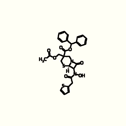 CC(=O)OCC1(C(=O)OC(c2ccccc2)c2ccccc2)CS[C@@H]2C(N(O)C(=O)Cc3cccs3)C(=O)N2C1